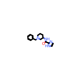 O=C(NC1CCCN(Cc2ccccc2)C1)c1ncc[nH]1